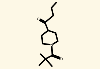 CCCC(=O)C1CCN(C(=O)C(C)(C)C)CC1